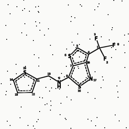 FC(F)(F)c1csc2c(NCc3cccs3)snc12